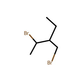 CCC(CBr)C(C)Br